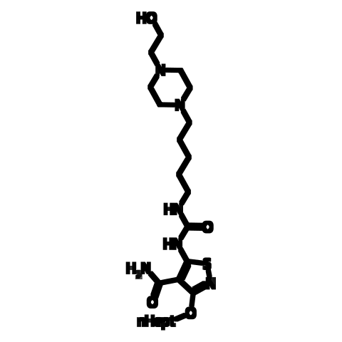 CCCCCCCOc1nsc(NC(=O)NCCCCCN2CCN(CCO)CC2)c1C(N)=O